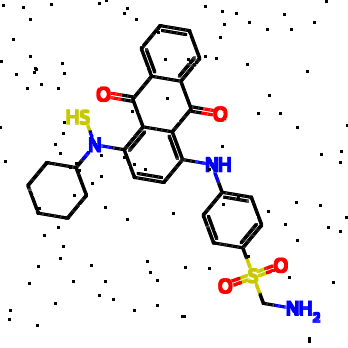 NCS(=O)(=O)c1ccc(Nc2ccc(N(S)C3CCCCC3)c3c2C(=O)c2ccccc2C3=O)cc1